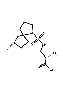 CN1CCC2(CCCN2S(=O)(=O)NC[C@H](N)C(=O)O)C1